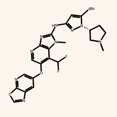 CN1CC[C@@H](n2nc(Nc3nc4ncc(Oc5cnc6scnc6c5)c(C(F)F)c4n3C)cc2C(C)(C)C)C1